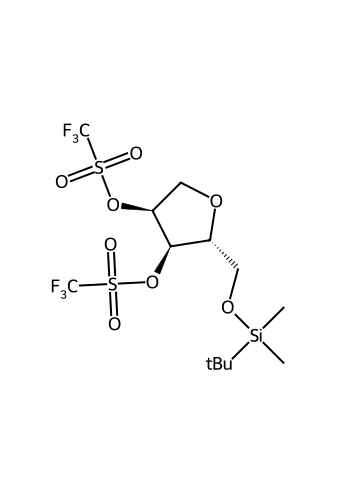 CC(C)(C)[Si](C)(C)OC[C@H]1OC[C@H](OS(=O)(=O)C(F)(F)F)[C@@H]1OS(=O)(=O)C(F)(F)F